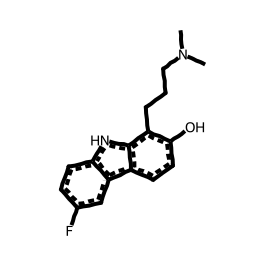 CN(C)CCCc1c(O)ccc2c1[nH]c1ccc(F)cc12